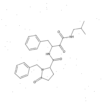 CC(C)CNC(=O)C(=O)C(Cc1ccccc1)NC(=O)C1CCC(=O)N1Cc1ccccc1